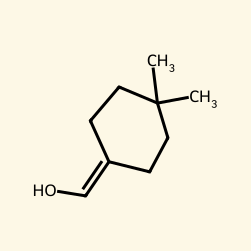 CC1(C)CCC(=CO)CC1